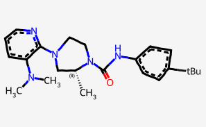 C[C@@H]1CN(c2ncccc2N(C)C)CCN1C(=O)Nc1ccc(C(C)(C)C)cc1